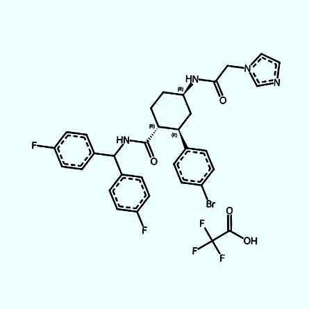 O=C(Cn1ccnc1)N[C@@H]1CC[C@@H](C(=O)NC(c2ccc(F)cc2)c2ccc(F)cc2)[C@H](c2ccc(Br)cc2)C1.O=C(O)C(F)(F)F